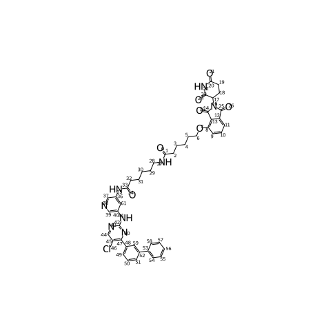 O=C(CCCCCOc1cccc2c1C(=O)N(C1CCC(=O)NC1=O)C2=O)NCCCCCC(=O)Nc1cncc(Nc2ncc(Cl)c(-c3cccc(-c4ccccc4)c3)n2)c1